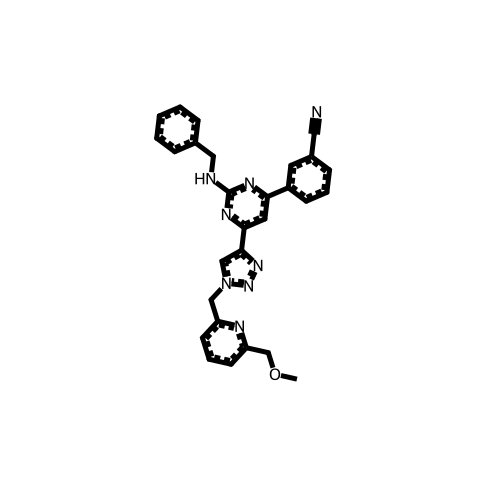 COCc1cccc(Cn2cc(-c3cc(-c4cccc(C#N)c4)nc(NCc4ccccc4)n3)nn2)n1